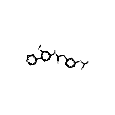 COc1cc(NC(=O)Cc2cccc(OC(F)F)c2)ccc1-c1ccncc1